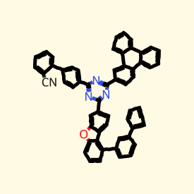 N#Cc1ccccc1-c1ccc(-c2nc(-c3ccc4c(c3)oc3cccc(-c5cccc(-c6ccccc6)c5)c34)nc(-c3ccc4c5ccccc5c5ccccc5c4c3)n2)cc1